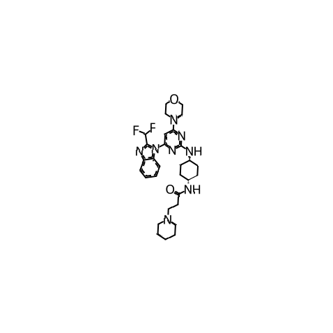 O=C(CCN1CCCCC1)N[C@H]1CC[C@H](Nc2nc(N3CCOCC3)cc(-n3c(C(F)F)nc4ccccc43)n2)CC1